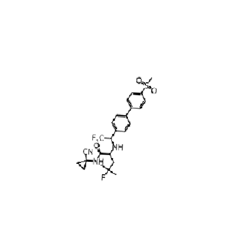 CC(C)(F)CC(NC(c1ccc(-c2ccc(S(C)(=O)=O)cc2)cc1)C(F)(F)F)C(=O)NC1(C#N)CC1